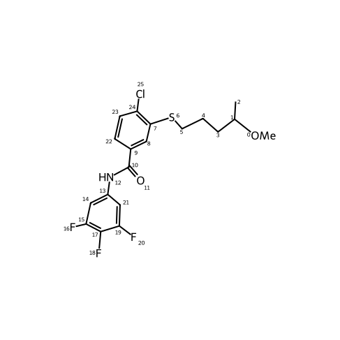 COC(C)CCCSc1cc(C(=O)Nc2cc(F)c(F)c(F)c2)ccc1Cl